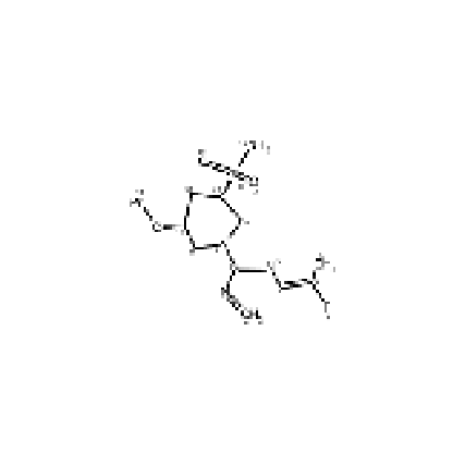 C=N/C(=N\C=C(/C)F)N1C[C@@H](OC(C)C)C[C@@H](S(N)(=O)=O)C1